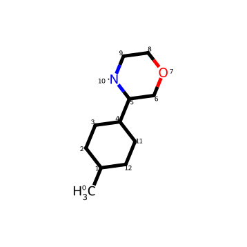 CC1CCC(C2COCC[N]2)CC1